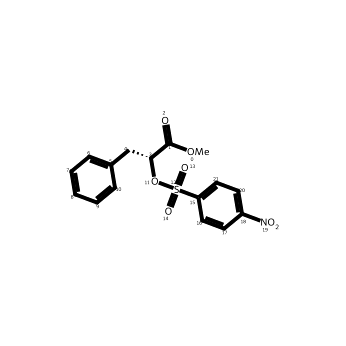 COC(=O)[C@@H](Cc1ccccc1)OS(=O)(=O)c1ccc([N+](=O)[O-])cc1